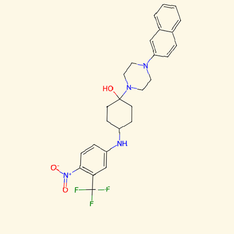 O=[N+]([O-])c1ccc(NC2CCC(O)(N3CCN(c4ccc5ccccc5c4)CC3)CC2)cc1C(F)(F)F